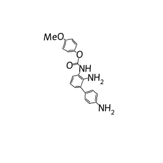 COc1ccc(OC(=O)Nc2cccc(-c3ccc(N)cc3)c2N)cc1